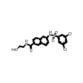 O=C(NCCO)c1ccc2cc(NS(=O)(=O)c3cc(Cl)cc(Cl)c3)ccc2c1